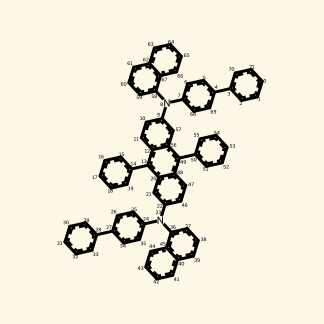 c1ccc(-c2ccc(N(c3ccc4c(-c5ccccc5)c5cc(N(c6ccc(-c7ccccc7)cc6)c6cccc7ccccc67)ccc5c(-c5ccccc5)c4c3)c3cccc4ccccc34)cc2)cc1